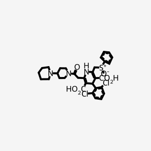 O=C(O)C1=C(CC(=O)N2CCC(N3CCCCC3)CC2)NC(C[S+]([O-])c2ccccc2)=C(C(=O)O)C1c1c(Cl)cccc1Cl